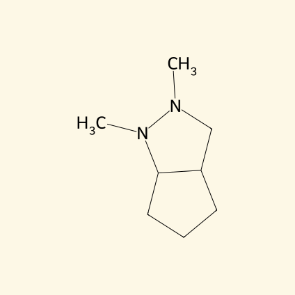 CN1CC2CCCC2N1C